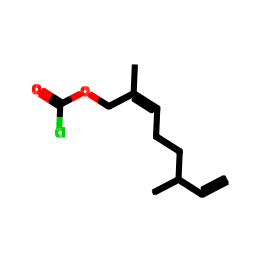 C=CC(C)CCC=C(C)COC(=O)Cl